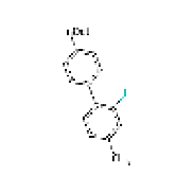 CCCCCCCCc1ccc(-c2ccc(C)cc2F)cc1